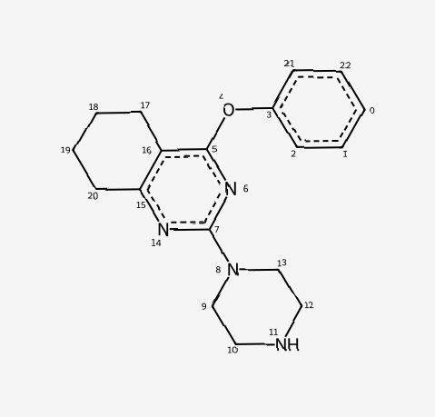 c1ccc(Oc2nc(N3CCNCC3)nc3c2CCCC3)cc1